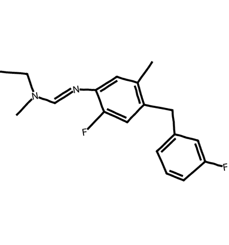 CCN(C)/C=N/c1cc(C)c(Cc2cccc(F)c2)cc1F